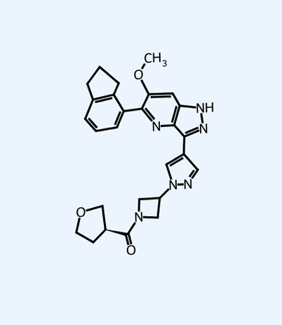 COc1cc2[nH]nc(-c3cnn(C4CN(C(=O)[C@H]5CCOC5)C4)c3)c2nc1-c1cccc2c1CCC2